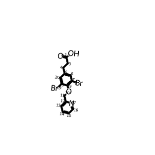 O=C(O)CCc1cc(Br)c(OCc2ccccn2)c(Br)c1